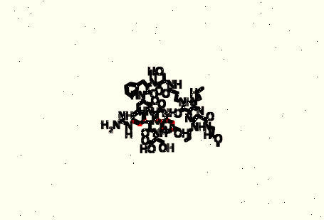 CCCNc1nc(C(=O)NCCC(=O)NC(CO)C(=O)NC(Cc2ccccc2)C(=O)NC(Cc2ccccc2)C(=O)NC(Cc2ccc(O)cc2)C(=O)NC(CC(C)C)C(=O)NC(CCCNC(=N)N)C(=O)NC(CO)C(=O)O)c(NCCC)nc1C(=O)NCCOC